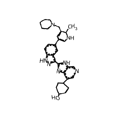 CC1NC=C(c2ccc3[nH]nc(-c4nc5c(C6CCC(O)CC6)cncc5[nH]4)c3c2)C=C1CN1CCCCC1